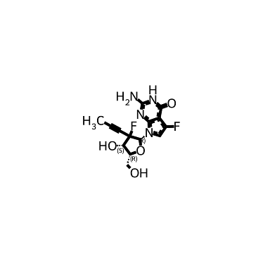 CC#CC1(F)[C@@H](O)[C@@H](CO)O[C@H]1n1cc(F)c2c(=O)[nH]c(N)nc21